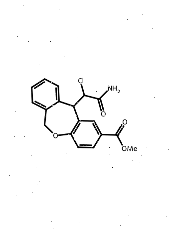 COC(=O)c1ccc2c(c1)C(C(Cl)C(N)=O)c1ccccc1CO2